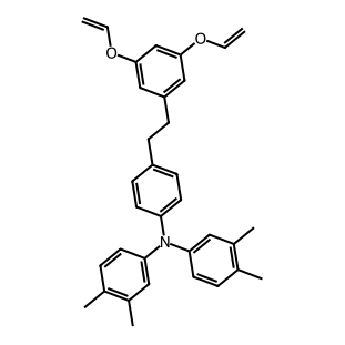 C=COc1cc(CCc2ccc(N(c3ccc(C)c(C)c3)c3ccc(C)c(C)c3)cc2)cc(OC=C)c1